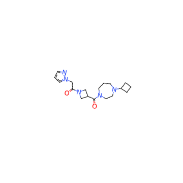 O=C(Cn1cccn1)N1CC(C(=O)N2CCCN(C3CCC3)CC2)C1